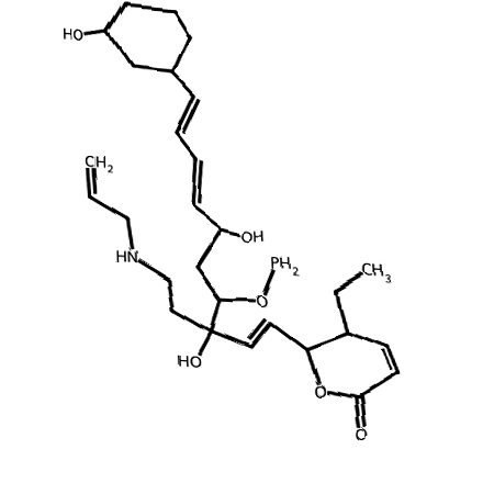 C=CCNCCC(O)(C=CC1OC(=O)C=CC1CC)C(CC(O)C=CC=CC1CCCC(O)C1)OP